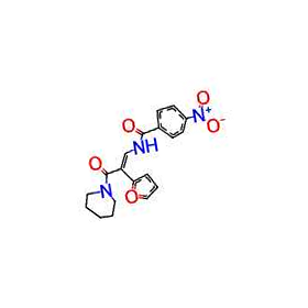 O=C(NC=C(C(=O)N1CCCCC1)c1ccco1)c1ccc([N+](=O)[O-])cc1